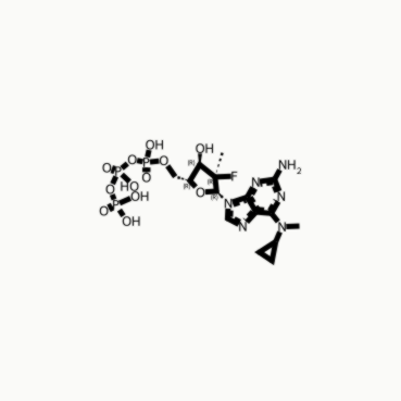 CN(c1nc(N)nc2c1ncn2[C@@H]1O[C@H](COP(=O)(O)OP(=O)(O)OP(=O)(O)O)[C@@H](O)[C@@]1(C)F)C1CC1